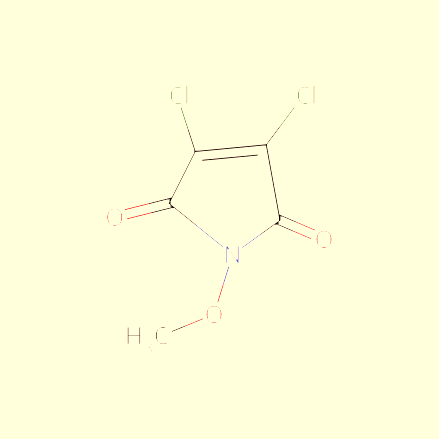 CON1C(=O)C(Cl)=C(Cl)C1=O